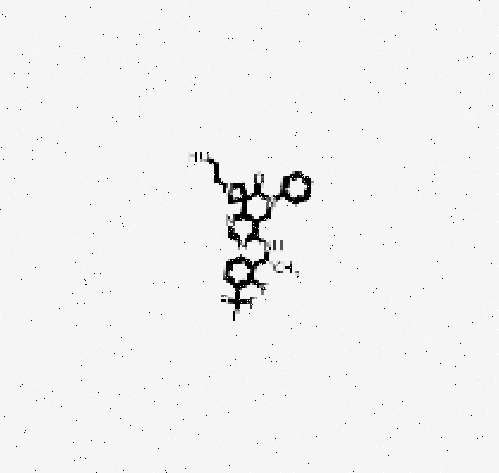 C[C@@H](Nc1ncnc2c1CN(c1ccccc1)C(=O)C21CN(CCO)C1)c1cccc(C(F)(F)F)c1F